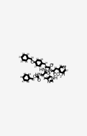 O=C(N[C@@H](Cc1c[nH]cn1)C(=O)N[C@@H](Cc1ccc(OCc2ccccc2)cc1)C(=O)N[C@@H](Cc1cccnc1)C(=O)O)OCc1ccccc1